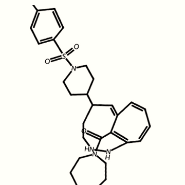 Cc1ccc(S(=O)(=O)N2CCC(C3/C=C4\C=CC=CC(=C4C(=O)N4CCCCCC4)NNCC3)CC2)cc1